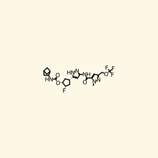 Cn1nc(COC(F)(F)F)cc1C(=O)Nc1cc([C@@H]2C[C@H](F)[C@H](OC(=O)NC3CC4CC3C4)C2)[nH]n1